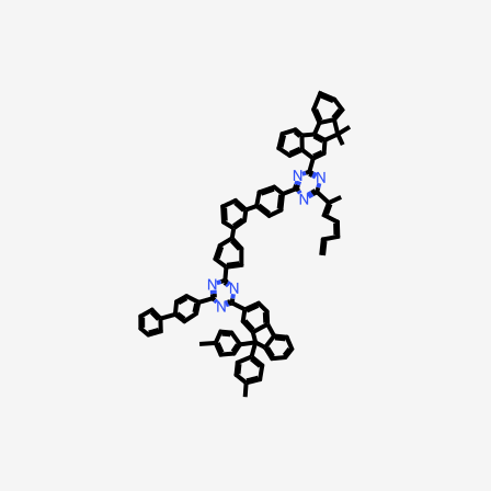 C=C/C=C\C=C(/C)c1nc(-c2ccc(-c3cccc(-c4ccc(-c5nc(-c6ccc(-c7ccccc7)cc6)nc(-c6ccc7c(c6)C(c6ccc(C)cc6)(c6ccc(C)cc6)c6ccccc6-7)n5)cc4)c3)cc2)nc(-c2cc3c(c4ccccc24)-c2ccccc2C3(C)C)n1